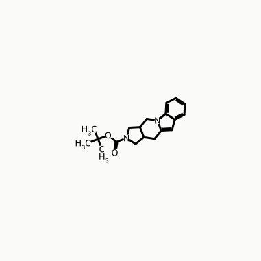 CC(C)(C)OC(=O)N1CC2Cc3cc4ccccc4n3CC2C1